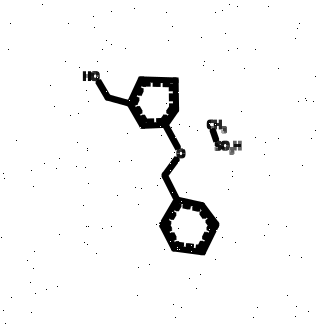 CS(=O)(=O)O.OCc1cccc(OCc2ccccc2)c1